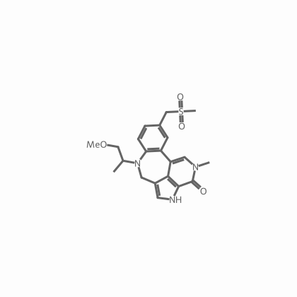 COCC(C)N1Cc2c[nH]c3c(=O)n(C)cc(c23)-c2cc(CS(C)(=O)=O)ccc21